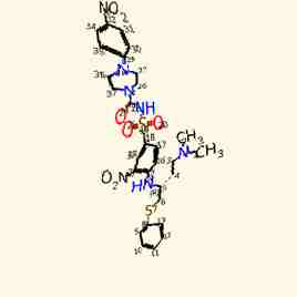 CN(C)CC[C@H](CSc1ccccc1)Nc1ccc(S(=O)(=O)NC(=O)N2CCN(c3ccc([N+](=O)[O-])cc3)CC2)cc1[N+](=O)[O-]